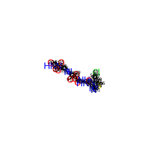 COc1cc(/N=N/c2ccc3c(c2)C(=O)N(C2CCC(=O)NC2=O)C3=O)cc(OC)c1OCC(=O)NCCNC(=O)C[C@@H]1N=C(c2ccc(Cl)cc2)c2c(sc(C)c2C)-n2c(C)nnc21